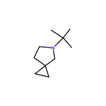 CC(C)(C)N1CCC2(CC2)C1